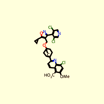 COc1cc(Cl)c2nc(C34CCC(OCc5c(-c6c(Cl)cncc6Cl)noc5C5CC5)(CC3)CC4)ccc2c1C(=O)O